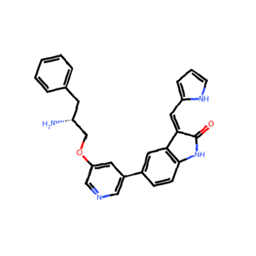 N[C@@H](COc1cncc(-c2ccc3c(c2)C(=Cc2ccc[nH]2)C(=O)N3)c1)Cc1ccccc1